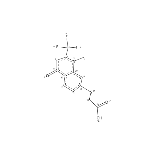 Cn1c(C(F)(F)F)cc(=O)c2ccc(SCC(=O)O)cc21